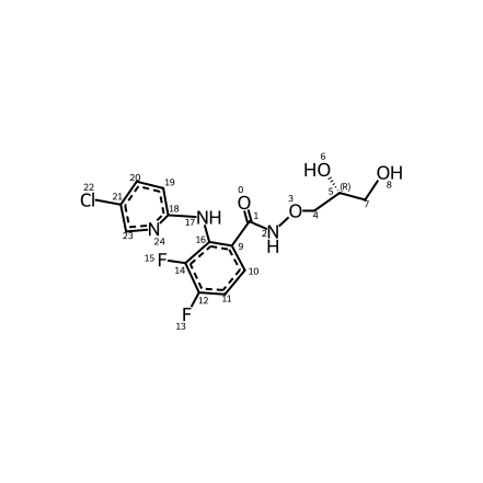 O=C(NOC[C@H](O)CO)c1ccc(F)c(F)c1Nc1ccc(Cl)cn1